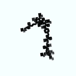 C=COC(=O)CCCC(=O)N[C@H](C(=O)N[C@@H](C)C(=O)Nc1ccc(COC(=O)NCCNC(=O)OCC(C)(C)CC)cc1)C(C)C